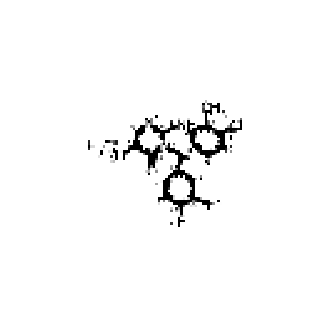 COc1cnc(Nc2cccc(Cl)c2C)n(Cc2ccc(F)c(F)c2)c1=O